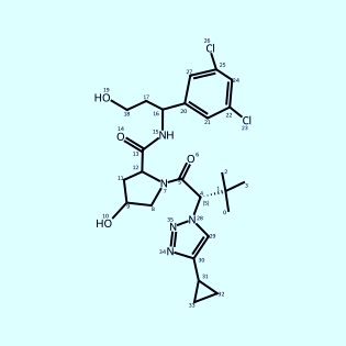 CC(C)(C)[C@@H](C(=O)N1CC(O)CC1C(=O)NC(CCO)c1cc(Cl)cc(Cl)c1)n1cc(C2CC2)nn1